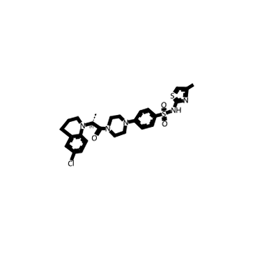 Cc1csc(NS(=O)(=O)c2ccc(N3CCN(C(=O)[C@@H](C)N4CCCc5cc(Cl)ccc54)CC3)cc2)n1